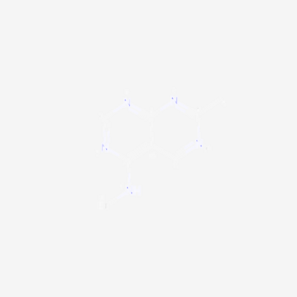 CCNc1ncnc2nc(C)ncc12